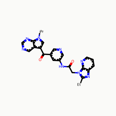 CCc1nc2cccnc2n1CC(=O)Nc1cncc(C(=O)c2cn(C(C)C)c3ncncc23)c1